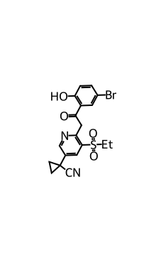 CCS(=O)(=O)c1cc(C2(C#N)CC2)cnc1CC(=O)c1cc(Br)ccc1O